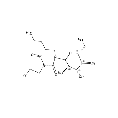 CCCCCN(C(=O)N(CCCl)N=O)C1O[C@H](CO)[C@@H](O)[C@H](O)[C@H]1O